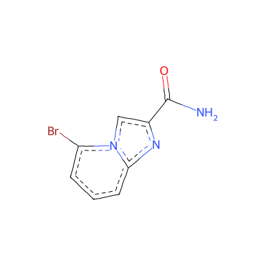 NC(=O)c1cn2c(Br)cccc2n1